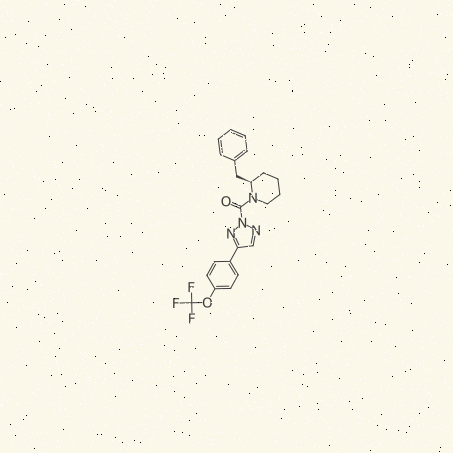 O=C(N1CCCC[C@@H]1Cc1ccccc1)n1ncc(-c2ccc(OC(F)(F)F)cc2)n1